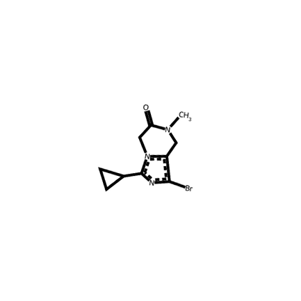 CN1Cc2c(Br)nc(C3CC3)n2CC1=O